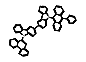 c1ccc(-c2c3ccccc3c(-n3c4ccccc4c4cc(-c5ccc6c(c5)c5ccccc5n6-c5cc6ccccc6c6ccccc56)ccc43)c3ccccc23)cc1